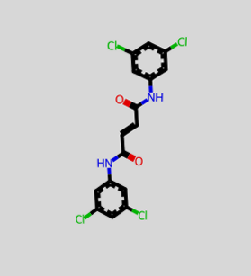 O=C(/C=C/C(=O)Nc1cc(Cl)cc(Cl)c1)Nc1cc(Cl)cc(Cl)c1